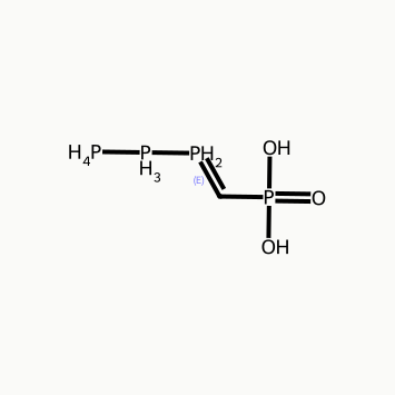 O=P(O)(O)/C=[PH2]/[PH3][PH4]